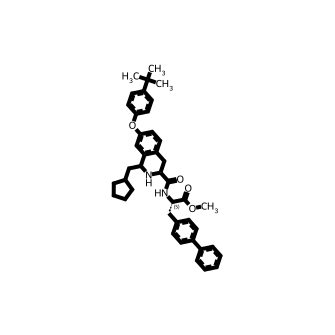 COC(=O)[C@H](Cc1ccc(-c2ccccc2)cc1)NC(=O)C1Cc2ccc(Oc3ccc(C(C)(C)C)cc3)cc2C(CC2CCCC2)N1